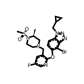 C[C@H]1CN(Cc2cc(F)cnc2Oc2ccc3c(nnn3CC3CC3)c2Br)CCN1S(C)(=O)=O